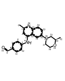 Cc1cc(Nc2ccc(C=O)cc2)c2cc(N3CCO[C@H](C)C3)ccc2n1